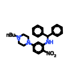 CCCCN1CCN(c2ccc([N+](=O)[O-])c(NC(c3ccccc3)c3ccccc3)c2)CC1